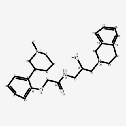 CN1CCCC(c2ccccc2OCC(=O)NCC(O)CN2CCc3ccccc3C2)C1